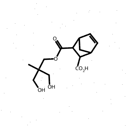 CC(CO)(CO)COC(=O)C1C2C=CC(C2)C1C(=O)O